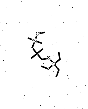 CC[Si](CC)(CC)SCC(C)(C)C[Si](C)(C)OC